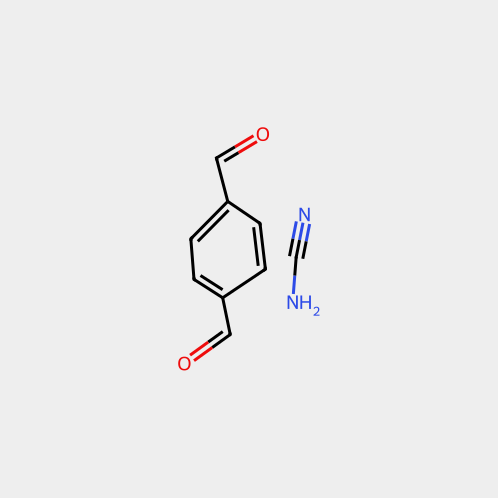 N#CN.O=Cc1ccc(C=O)cc1